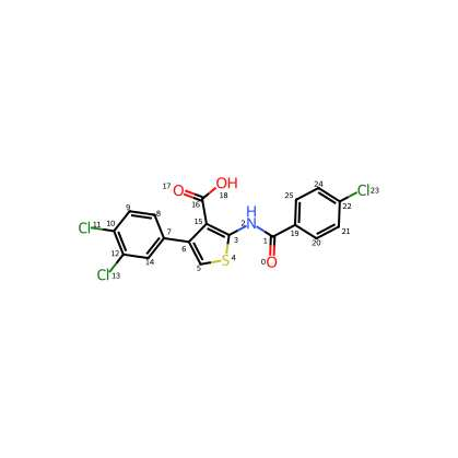 O=C(Nc1scc(-c2ccc(Cl)c(Cl)c2)c1C(=O)O)c1ccc(Cl)cc1